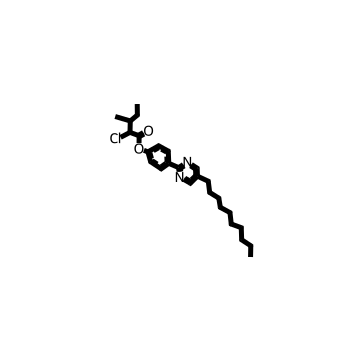 CCCCCCCCCCc1cnc(-c2ccc(OC(=O)C(Cl)C(C)CC)cc2)nc1